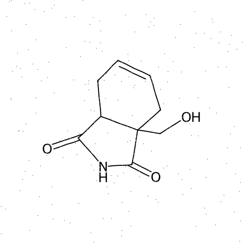 O=C1NC(=O)C2(CO)CC=CCC12